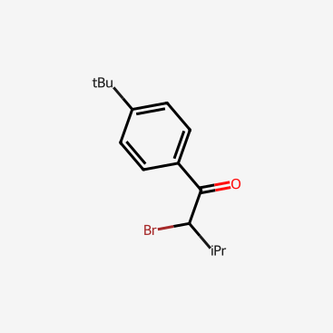 CC(C)C(Br)C(=O)c1ccc(C(C)(C)C)cc1